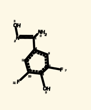 NC(=NO)c1cc(F)c(O)c(F)c1